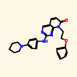 O=c1ccc2cnc(Nc3ccc(N4CCCCC4)cc3)nc2n1CCOc1ccccc1